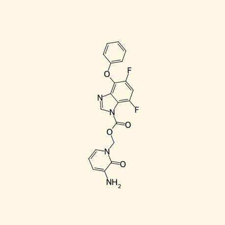 Nc1cccn(COC(=O)n2cnc3c(Oc4ccccc4)c(F)cc(F)c32)c1=O